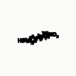 O=[N+]([O-])c1ccc(N2CC(N3CCN(CCO)CC3)C2)cc1